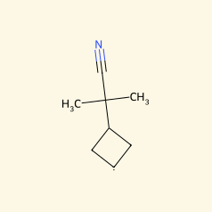 CC(C)(C#N)C1C[CH]C1